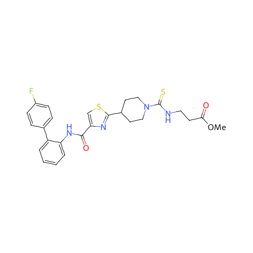 COC(=O)CCNC(=S)N1CCC(c2nc(C(=O)Nc3ccccc3-c3ccc(F)cc3)cs2)CC1